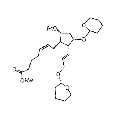 COC(=O)CCC/C=C\C[C@@H]1[C@@H](/C=C/COC2CCCCO2)[C@H](OC2CCCCO2)C[C@@H]1OC(C)=O